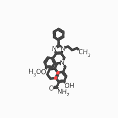 CCCCn1c(-c2ccccc2)nc(-c2ccc(OC)cc2)c1CN(Cc1ccc(C(N)=O)c(O)c1)CC1CCCCC1